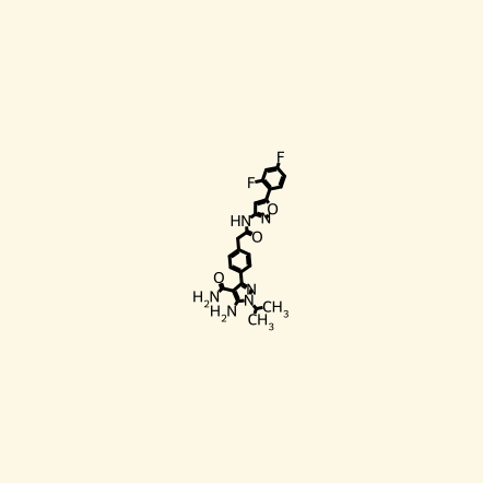 CC(C)n1nc(-c2ccc(CC(=O)Nc3cc(-c4ccc(F)cc4F)on3)cc2)c(C(N)=O)c1N